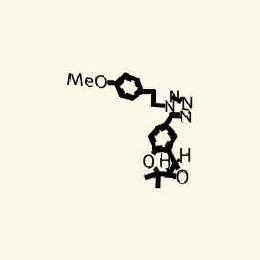 COc1ccc(CCn2nnnc2-c2ccc3c(c2)[C@@H]2O[C@@H]2C(C)(C)O3)cc1